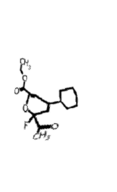 CCOC(=O)C1=CC(C2CCCCC2)CC(F)(C(C)=O)O1